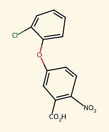 O=C(O)c1cc(Oc2ccccc2Cl)ccc1[N+](=O)[O-]